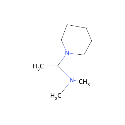 CC(N(C)C)N1CC[CH]CC1